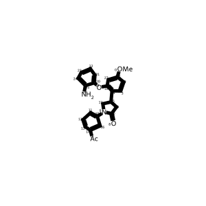 COc1ccc(C2CC(=O)N(c3cccc(C(C)=O)c3)C2)c(Oc2ccccc2N)c1